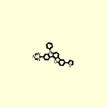 c1ccc(-n2c3cc(-c4ncncn4)ccc3c3c4oc5ccc(-c6cccs6)cc5c4ccc32)cc1